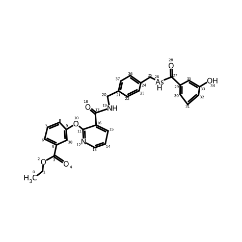 CCOC(=O)c1cccc(Oc2ncccc2C(=O)NCc2ccc(C[AsH]C(=O)c3cccc(O)c3)cc2)c1